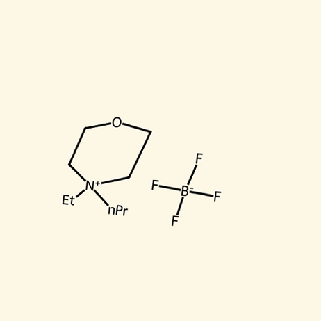 CCC[N+]1(CC)CCOCC1.F[B-](F)(F)F